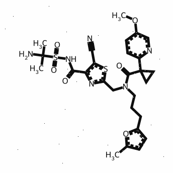 COc1ccc(C2(C(=O)N(CCCc3ccc(C)o3)Cc3nc(C(=O)NS(=O)(=O)C(C)(C)N)c(C#N)s3)CC2)nc1